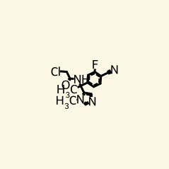 Cn1cncc1C(C)(NC(=O)CCl)c1ccc(C#N)c(F)c1